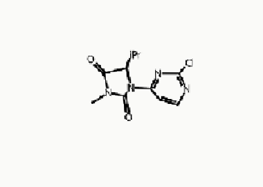 CC(C)C1C(=O)N(C)C(=O)N1c1ccnc(Cl)n1